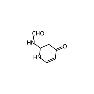 O=CNC1CC(=O)C=CN1